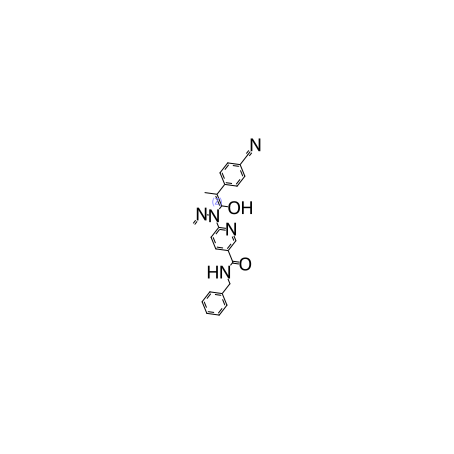 C=NN(/C(O)=C(\C)c1ccc(C#N)cc1)c1ccc(C(=O)NCc2ccccc2)cn1